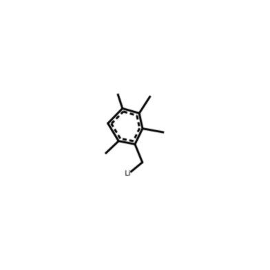 [Li][CH2]c1c(C)cc(C)c(C)c1C